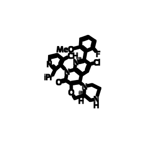 COc1cccc(F)c1-c1nc2c(cc1Cl)c1c(c(=O)n2-c2c(C)ccnc2C(C)C)OC[C@H]2CNCCN12